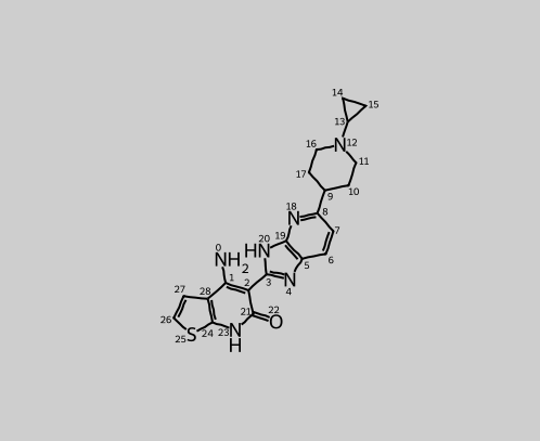 Nc1c(-c2nc3ccc(C4CCN(C5CC5)CC4)nc3[nH]2)c(=O)[nH]c2sccc12